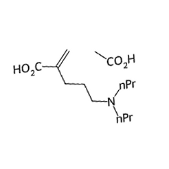 C=C(CCCN(CCC)CCC)C(=O)O.CC(=O)O